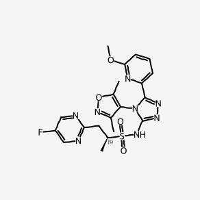 COc1cccc(-c2nnc(NS(=O)(=O)[C@@H](C)Cc3ncc(F)cn3)n2-c2c(C)noc2C)n1